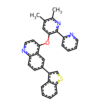 Cc1cc(Oc2ccnc3ccc(-c4csc5ccccc45)cc23)c(-c2ccccn2)nc1C